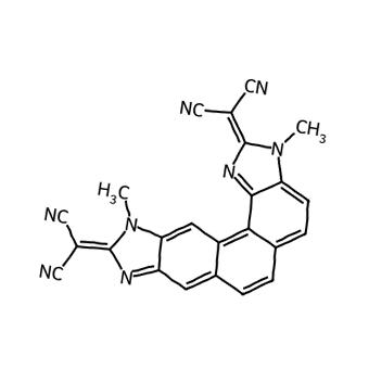 Cn1c(=C(C#N)C#N)nc2cc3ccc4ccc5c(nc(=C(C#N)C#N)n5C)c4c3cc21